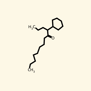 CCCCCCCCC(=O)C(CCC)C1CCCCC1